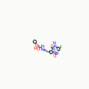 CC(=O)Nc1ccc(CCNCC(O)COc2ccccc2)cc1-c1csc(Nc2cccc(F)c2)n1